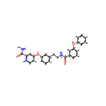 CNC(=O)c1cc(Oc2cccc(CCNC(=O)c3cccc(Oc4ccccc4)c3)c2)ccn1